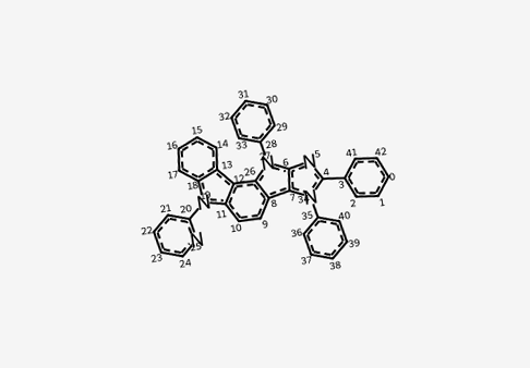 c1ccc(-c2nc3c(c4ccc5c(c6ccccc6n5-c5ccccn5)c4n3-c3ccccc3)n2-c2ccccc2)cc1